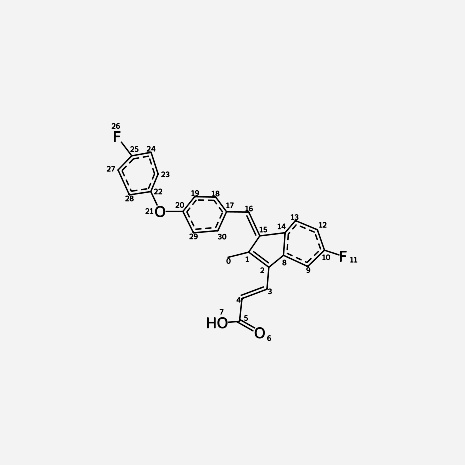 CC1=C(C=CC(=O)O)c2cc(F)ccc2C1=Cc1ccc(Oc2ccc(F)cc2)cc1